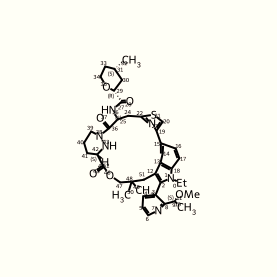 CCn1c(-c2cccnc2[C@H](C)OC)c2c3cc(ccc31)-c1csc(n1)C[C@H](NC(=O)[C@H]1C[C@@H](C)CCO1)C(=O)N1CCC[C@H](N1)C(=O)OCC(C)(C)C2